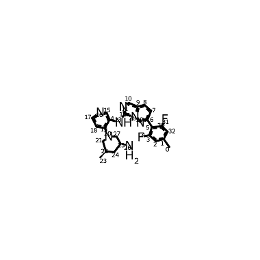 Cc1cc(F)c(-c2ccc3cnc(Nc4cnccc4N4C[C@H](C)C[C@H](N)C4)n3n2)c(F)c1